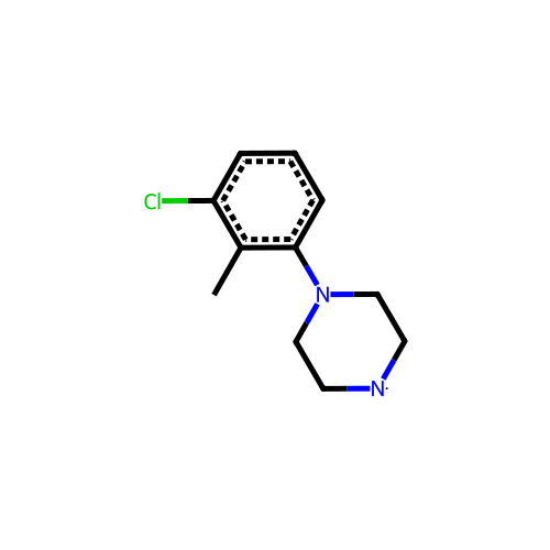 Cc1c(Cl)cccc1N1CC[N]CC1